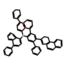 C1=CC(c2ccc(N(c3cc(-c4ccccc4)c(C4=Cc5ccc6ccccc6c5CC4)cc3-c3ccccc3)c3ccc(-c4ccccc4)c4ccccc34)cc2)=CCC1